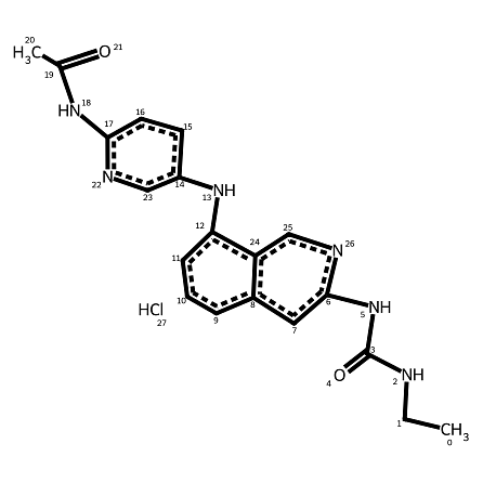 CCNC(=O)Nc1cc2cccc(Nc3ccc(NC(C)=O)nc3)c2cn1.Cl